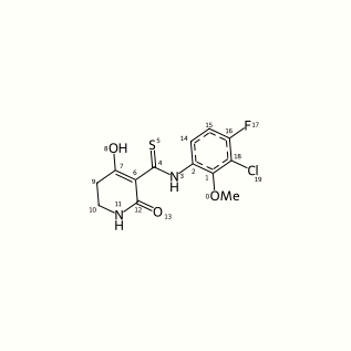 COc1c(NC(=S)C2=C(O)CCNC2=O)ccc(F)c1Cl